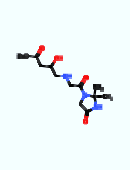 CC(C)COC(=O)CC(O)CNCC(=O)N1CC(=O)NC1(C)C